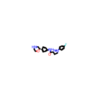 O=C(Nc1ccc([C@@H]2CNCCO2)cc1)C1=NN(c2ccc(F)cc2)CC1